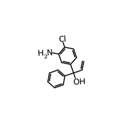 C=CC(O)(c1ccccc1)c1ccc(Cl)c(N)c1